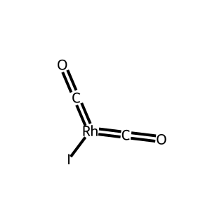 O=[C]=[Rh]([I])=[C]=O